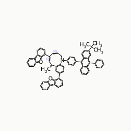 C=C1/C=C(c2cccc3c2oc2ccccc23)\C=C/CN(c2ccc(-c3c4ccccc4c(-c4ccccc4)c4cc(C(C)(C)C)ccc34)cc2)c2ccc(-c3cccc4c3oc3ccccc34)cc21